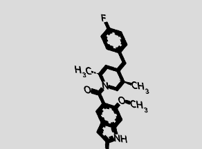 COc1cc2[nH]c(C)cc2cc1C(=O)N1C[C@H](C)C(Cc2ccc(F)cc2)C[C@H]1C